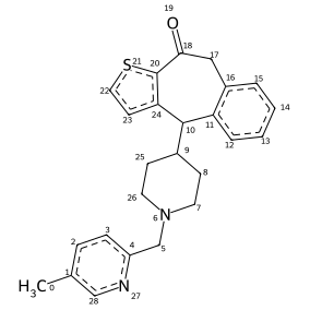 Cc1ccc(CN2CCC(C3c4ccccc4CC(=O)c4sccc43)CC2)nc1